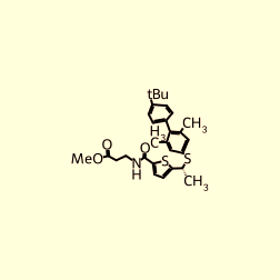 COC(=O)CCNC(=O)c1ccc([C@@H](C)Sc2cc(C)c(-c3ccc(C(C)(C)C)cc3)c(C)c2)s1